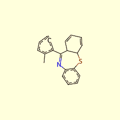 Cc1ccccc1C1=Nc2ccccc2SC2C=CC=CC12